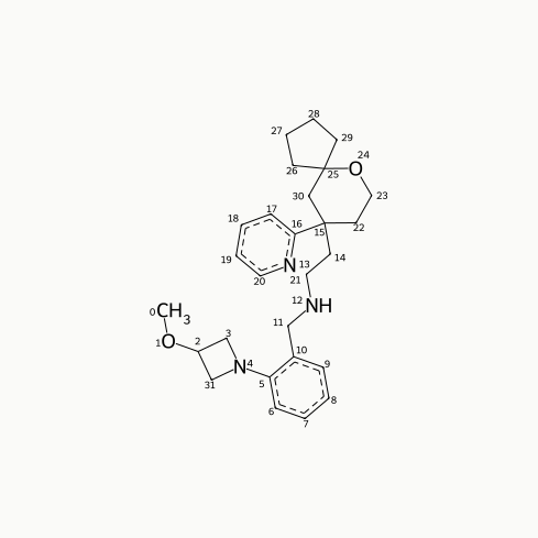 COC1CN(c2ccccc2CNCCC2(c3ccccn3)CCOC3(CCCC3)C2)C1